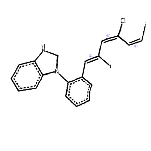 ClC(/C=C\I)=C/C(I)=C/c1ccccc1N1CNc2ccccc21